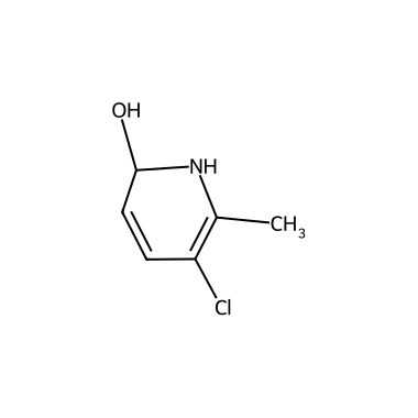 CC1=C(Cl)C=CC(O)N1